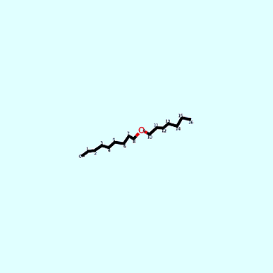 [CH2]CCCCCCCCOCCCCCCC